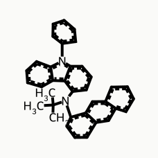 CC(C)(C)N(c1cccc2cc3ccccc3cc12)c1cccc2c1c1ccccc1n2-c1ccccc1